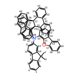 CC1(C)c2ccccc2-c2ccc(N(c3ccc4cccc5c4c3C34c6ccccc6-c6ccccc6C53c3ccccc3-c3ccccc34)c3cccc4c3oc3ccccc34)cc21